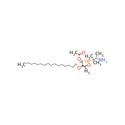 CCCCCCCCCCCCCCCCO[C@H](C)[C@@H](C[PH](=O)C(C)(C)C(C)N)OC(C)=O